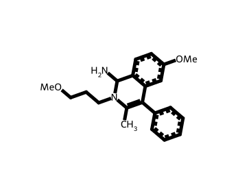 COCCCN1C(C)=C(c2ccccc2)c2cc(OC)ccc2C1N